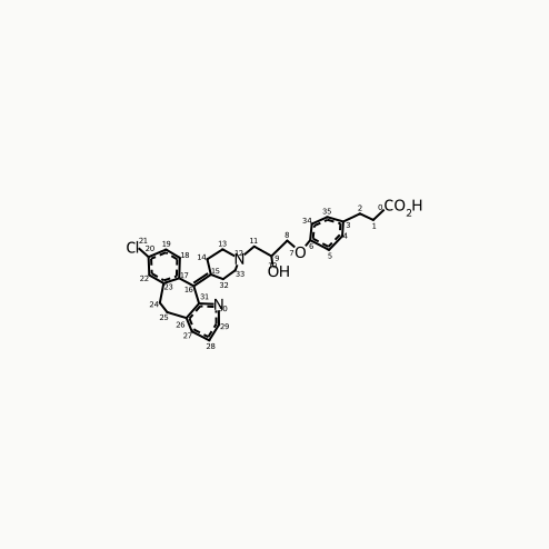 O=C(O)CCc1ccc(OCC(O)CN2CCC(=C3c4ccc(Cl)cc4CCc4cccnc43)CC2)cc1